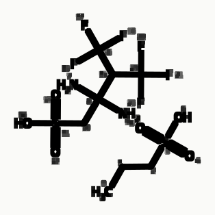 CCCS(=O)(=O)O.NC(N)(CS(=O)(=O)O)C(C(F)(F)F)C(F)(F)F